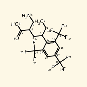 CCC(CC(CN)C(=O)O)c1c(C(F)(F)F)cc(C(F)(F)F)cc1C(F)(F)F